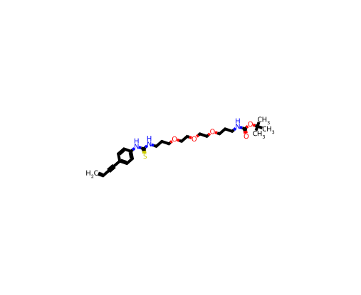 C=CC#Cc1ccc(NC(=S)NCCCOCCOCCOCCCNC(=O)OC(C)(C)C)cc1